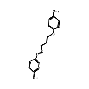 CC(C)(C)c1ccc(OCCCCOc2ccc(C(C)(C)C)cc2)cc1